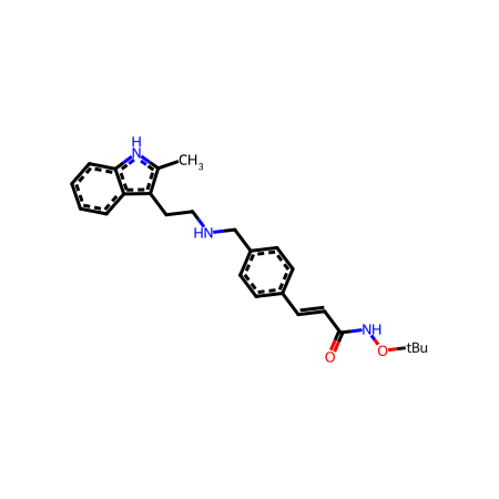 Cc1[nH]c2ccccc2c1CCNCc1ccc(/C=C/C(=O)NOC(C)(C)C)cc1